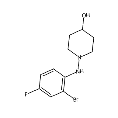 OC1CCN(Nc2ccc(F)cc2Br)CC1